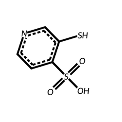 O=S(=O)(O)c1ccncc1S